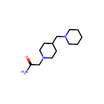 NC(=O)CN1CCC(CN2CCCCC2)CC1